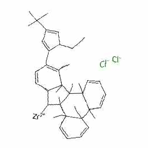 CCC1C=C(C(C)(C)C)C=C1C1=C(C)C2(C)C(C=C1)[CH]([Zr+2])C1(C)C3(C)C=CC=CC3(C)C3(C)C=CC=CC3(C)C21C.[Cl-].[Cl-]